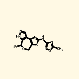 Cc1nc(Nc2nc3c(s2)COC(C(C)C)c2[nH]ncc2-3)ns1